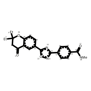 CCC1(CC)CC(=O)c2cc(-c3nc(-c4ccc(C(=O)NC)cc4)no3)ccc2O1